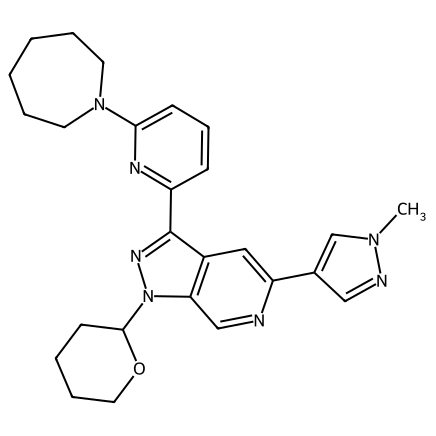 Cn1cc(-c2cc3c(-c4cccc(N5CCCCCC5)n4)nn(C4CCCCO4)c3cn2)cn1